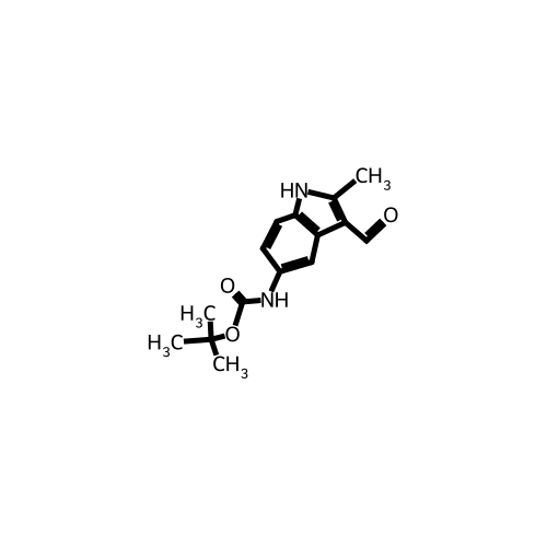 Cc1[nH]c2ccc(NC(=O)OC(C)(C)C)cc2c1C=O